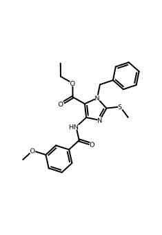 CCOC(=O)c1c(NC(=O)c2cccc(OC)c2)nc(SC)n1Cc1ccccc1